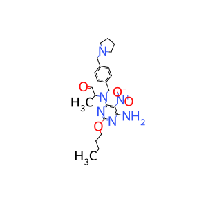 CCCCOc1nc(N)c([N+](=O)[O-])c(N(Cc2ccc(CN3CCCC3)cc2)C(C)C=O)n1